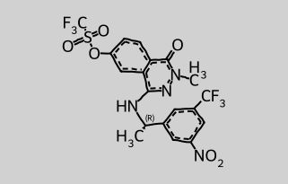 C[C@@H](Nc1nn(C)c(=O)c2ccc(OS(=O)(=O)C(F)(F)F)cc12)c1cc([N+](=O)[O-])cc(C(F)(F)F)c1